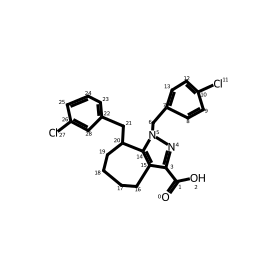 O=C(O)c1nn(Cc2ccc(Cl)cc2)c2c1CCCCC2Cc1cccc(Cl)c1